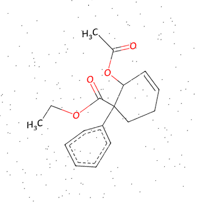 CCOC(=O)C1(c2ccccc2)CCC=CC1OC(C)=O